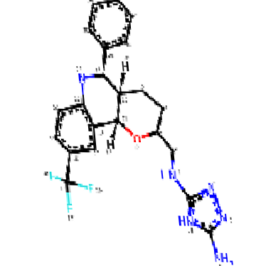 Nc1nnc(NCC2CC[C@@H]3[C@H](O2)c2cc(C(F)(F)F)ccc2N[C@H]3c2ccccc2)[nH]1